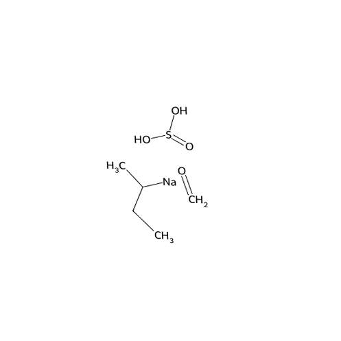 C=O.CC[CH](C)[Na].O=S(O)O